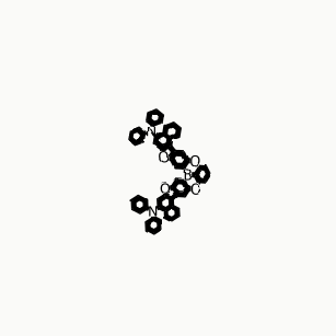 c1ccc(N(c2ccccc2)c2cc3oc4cc5c(cc4c3c3ccccc23)Oc2cccc3c2B5c2cc4oc5cc(N(c6ccccc6)c6ccccc6)c6ccccc6c5c4cc2O3)cc1